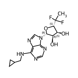 CC(F)(F)[C@H]1O[C@@H](n2cnc3c(NCC4CC4)ncnc32)[C@H](O)[C@@H]1O